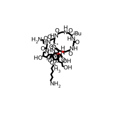 CC[C@H](C)C1NC(=O)CNC(=O)C2Cc3c([nH]c4cc(OCCCCCCN)ccc34)[S@@+]([O-])CC(NC(=O)CNC1=O)C(=O)N[C@@H](CC(N)=O)C(=O)N1CC(O)C[C@H]1C(=O)N[C@@H]([C@@H](C)[C@@H](O)CO)C(=O)N2